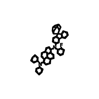 Fc1ccccc1N(c1ccc2c(c1)-c1ccccc1C21C2CC3CC(C2)CC1C3)c1ccc2ccc3c(N(c4ccccc4)c4ccccc4)ccc4ccc1c2c43